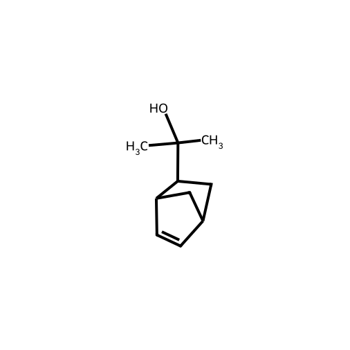 CC(C)(O)C1CC2C=CC1C2